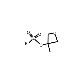 CCS(=O)(=O)OC1(C)COC1